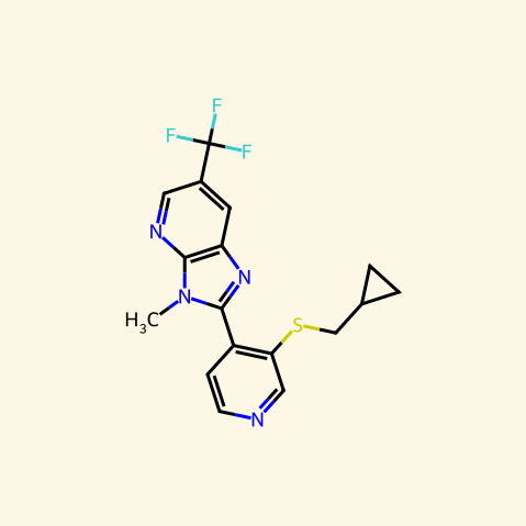 Cn1c(-c2ccncc2SCC2CC2)nc2cc(C(F)(F)F)cnc21